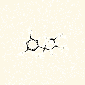 CC(=O)C(C)NC(C)(C)c1cc(F)cc(Cl)c1